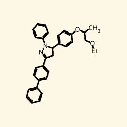 CCOCC(C)Oc1ccc(C2CC(c3ccc(-c4ccccc4)cc3)=NN2c2ccccc2)cc1